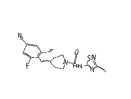 Cc1nsc(NC(=O)N2CCC(=Cc3c(F)cc(C#N)cc3F)CC2)n1